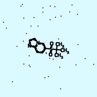 CC(C)(C)S(=O)(=O)c1ccc2nccn2c1